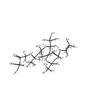 O=C(C(F)(F)F)C(F)(F)OC(F)(C(F)(F)F)C(F)(F)OC(F)(C(F)(F)F)C(F)(F)OC(F)(C(F)(F)F)C(F)(F)OC(F)=C(F)F